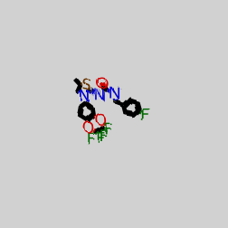 Cc1cn(-c2ccc3c(c2)OC(F)(F)C(F)(F)O3)/c(=N/C(=O)N(C)Cc2ccc(F)cc2)s1